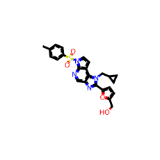 Cc1ccc(S(=O)(=O)n2ccc3c2ncc2nc(-c4ccc(CO)o4)n(CC4CC4)c23)cc1